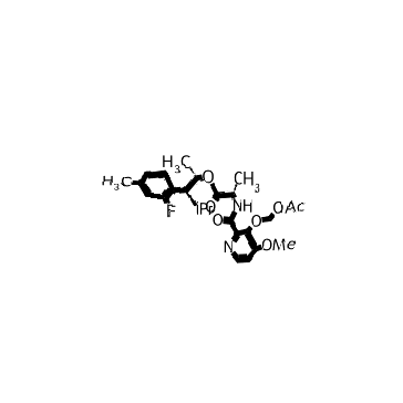 COc1ccnc(C(=O)N[C@@H](C)C(=O)O[C@@H](C)[C@H](c2ccc(C)cc2F)C(C)C)c1OCOC(C)=O